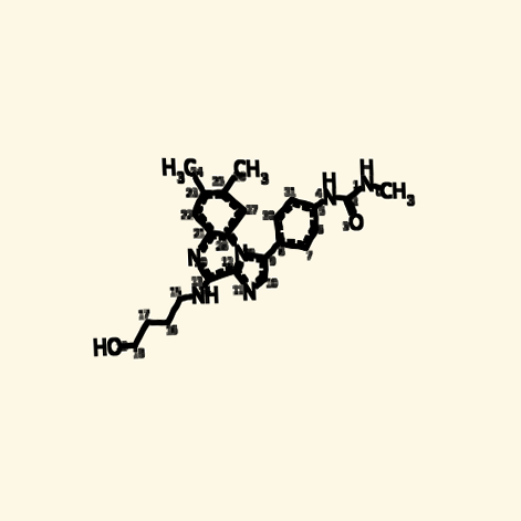 CNC(=O)Nc1ccc(-c2cnc3c(NCCCCO)nc4cc(C)c(C)cc4n23)cc1